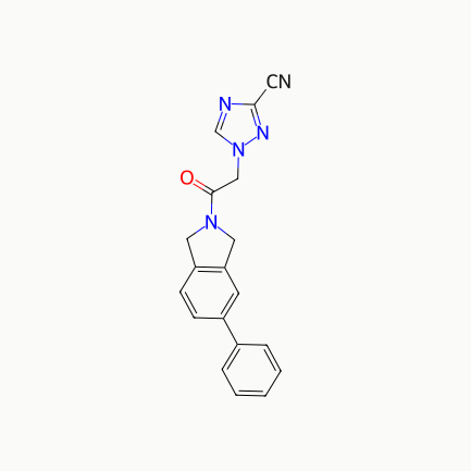 N#Cc1ncn(CC(=O)N2Cc3ccc(-c4ccccc4)cc3C2)n1